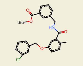 Cc1ccc(OCc2cccc(Cl)c2)cc1C(=O)NCc1cccc(C(=O)OC(C)(C)C)c1